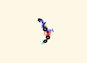 CN(CCN1CCCC1)c1nc2ccc(NC(=O)Oc3ccc(-c4ccc(F)cc4)cc3)cc2s1